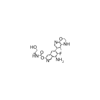 Cc1c(-c2cc3cc(OC(=O)N[C@H](C)CO)ncc3c(N)c2F)cnc2c1NCCO2